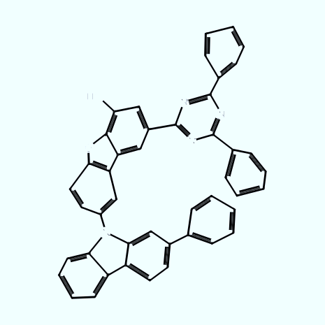 Oc1cc(-c2nc(-c3ccccc3)nc(-c3ccccc3)n2)cc2c1oc1ccc(-n3c4ccccc4c4ccc(-c5ccccc5)cc43)cc12